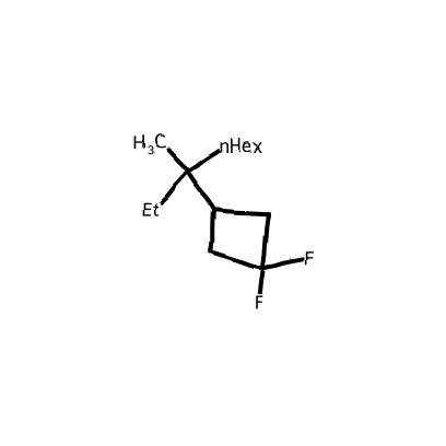 CCCCCCC(C)(CC)C1CC(F)(F)C1